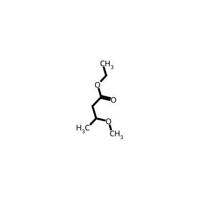 CCOC(=O)CC(C)OC